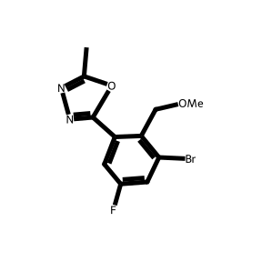 COCc1c(Br)cc(F)cc1-c1nnc(C)o1